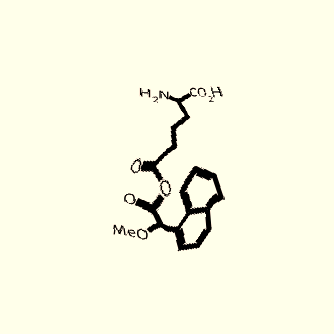 COC(C(=O)OC(=O)CCCC(N)C(=O)O)c1cccc2ccccc12